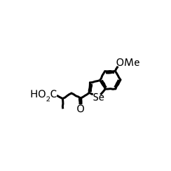 COc1ccc2[se]c(C(=O)CC(C)C(=O)O)cc2c1